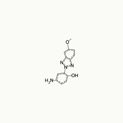 COc1ccc2nn(-c3cc(N)ccc3O)nc2c1